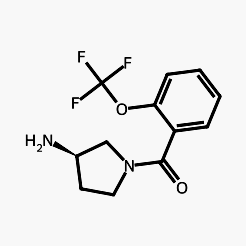 N[C@@H]1CCN(C(=O)c2ccccc2OC(F)(F)F)C1